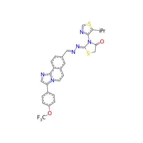 CC(C)c1scnc1N1C(=O)CSC1=NN=Cc1ccc2c(ccn3c(-c4ccc(OC(F)(F)F)cc4)cnc23)c1